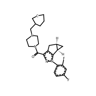 O=C(c1nn(-c2ccc(F)cc2F)c2c1C[C@H]1C[C@@H]21)N1CCN(CC2CCCCC2)CC1